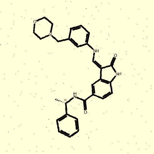 C[C@H](NC(=O)c1ccc2c(c1)C(=CNc1cccc(CN3CCOCC3)c1)C(=O)N2)c1ccccc1